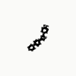 FC1(F)CCN(c2ncc(-c3ccc(N4CCSCC4)cc3)s2)CC1